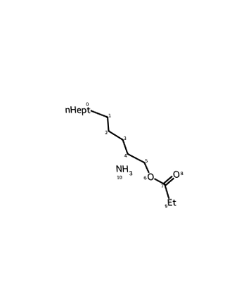 CCCCCCCCCCCCOC(=O)CC.N